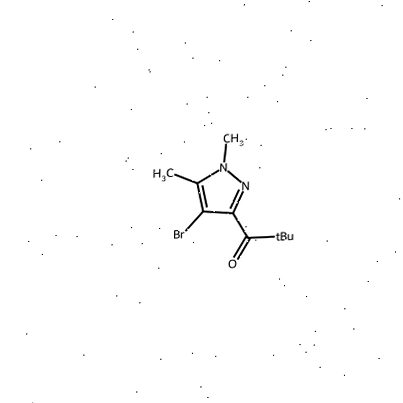 Cc1c(Br)c(C(=O)C(C)(C)C)nn1C